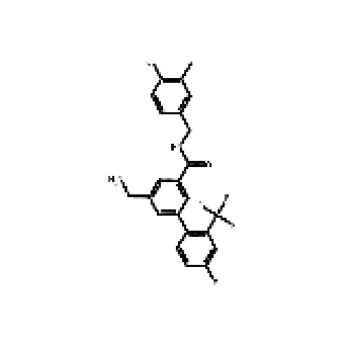 Cc1cc(CNC(=O)c2cc(CN)cc(-c3ccc(F)cc3C(F)(F)F)c2)ccc1Cl